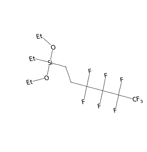 CCO[Si](CC)(CCC(F)(F)C(F)(F)C(F)(F)C(F)(F)F)OCC